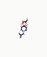 CC(C)CN1CCC2(CC1)OCC(C)O2